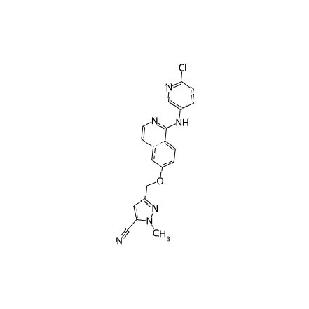 Cn1nc(COc2ccc3c(Nc4ccc(Cl)nc4)nccc3c2)cc1C#N